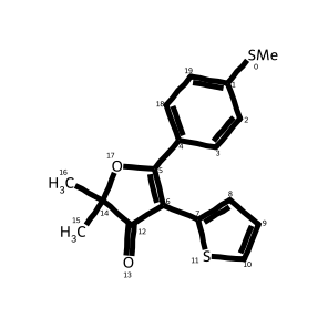 CSc1ccc(C2=C(c3cccs3)C(=O)C(C)(C)O2)cc1